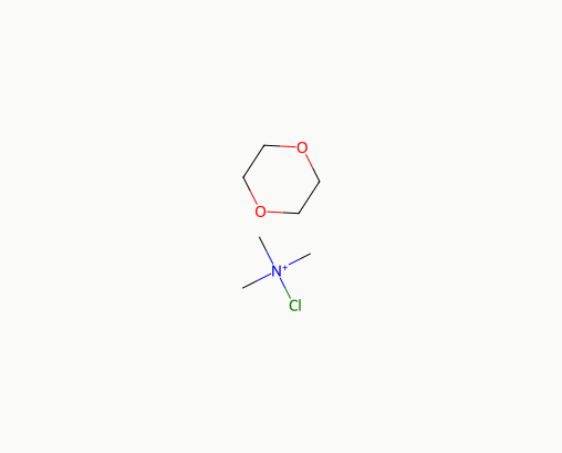 C1COCCO1.C[N+](C)(C)Cl